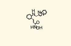 O=C(C=Cc1ccccc1NCc1cn2ccccc2n1)NO